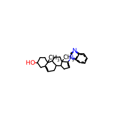 CC12CCC(O)CC1=CCC1C2CCC2(C)C(n3cnc4ccccc43)=CCC12